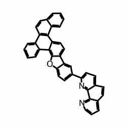 c1ccc2c(c1)ccc1c3ccccc3c3c(ccc4c5cc(-c6ccc7ccc8cccnc8c7n6)ccc5oc43)c21